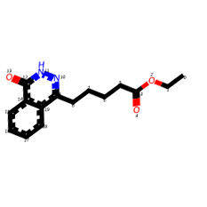 CCOC(=O)CCCCc1n[nH]c(=O)c2ccccc12